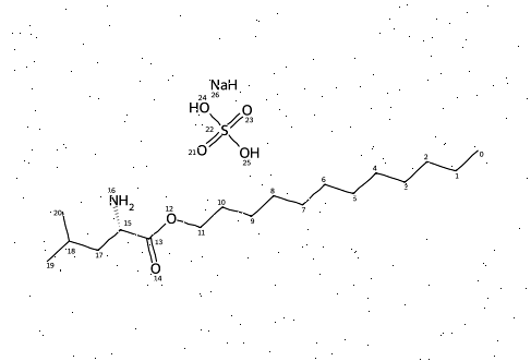 CCCCCCCCCCCCOC(=O)[C@@H](N)CC(C)C.O=S(=O)(O)O.[NaH]